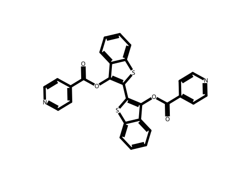 O=C(Oc1c(-c2sc3ccccc3c2OC(=O)c2ccncc2)sc2ccccc12)c1ccncc1